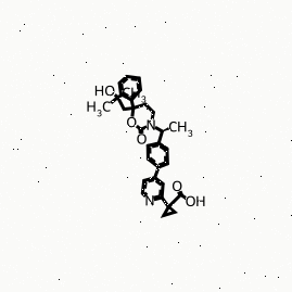 C[C@@H](c1ccc(-c2ccnc(C3(C(=O)O)CC3)c2)cc1)N1CCC(CC(C)(C)O)(c2ccccc2)OC1=O